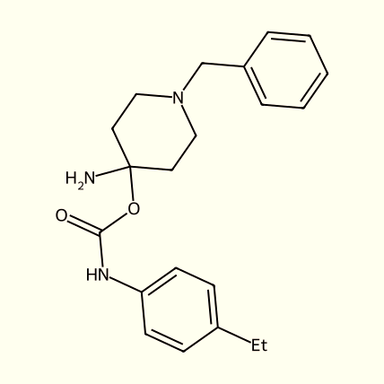 CCc1ccc(NC(=O)OC2(N)CCN(Cc3ccccc3)CC2)cc1